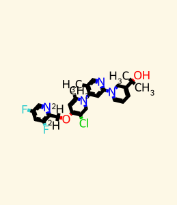 [2H]C([2H])(OC1=C(Cl)CN(c2cc(N3C=CC=C(C(C)(C)O)C3)ncc2C)C(C)=C1)c1ncc(F)cc1F